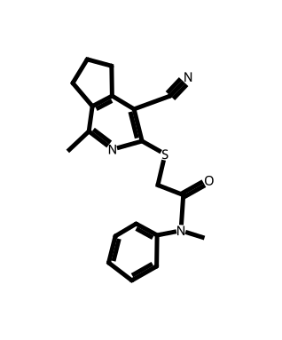 Cc1nc(SCC(=O)N(C)c2ccccc2)c(C#N)c2c1CCC2